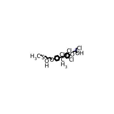 CCSCC(O)COc1ccc(C(C)(C)c2cc(Cl)c(OC/C(O)=C/Cl)c(Cl)c2)cc1